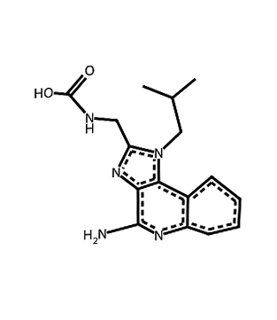 CC(C)Cn1c(CNC(=O)O)nc2c(N)nc3ccccc3c21